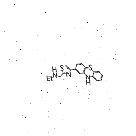 CCNCc1nc(-c2ccc3c(c2)Nc2ccccc2S3)cs1